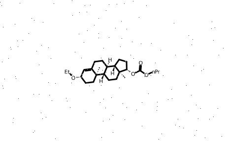 CCCOC(=O)O[C@H]1CC[C@H]2[C@@H]3CCC4=C[C@@H](OCC)CC[C@]4(C)[C@H]3CC[C@]12C